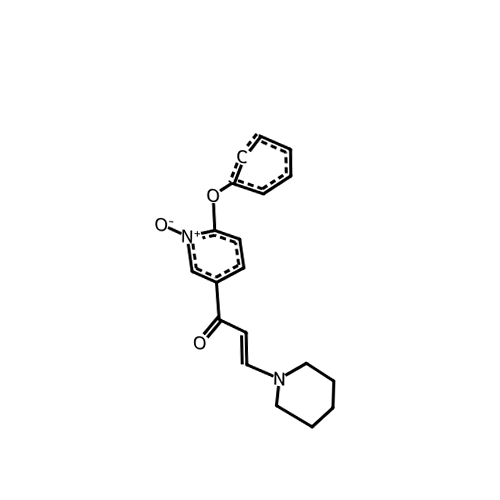 O=C(C=CN1CCCCC1)c1ccc(Oc2ccccc2)[n+]([O-])c1